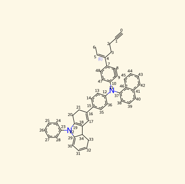 C#CCC/C(=C\C)c1c#cc(N(c2ccc(C3=CC4=C(CC3)N(c3ccccc3)C3=CC=CCC34)cc2)c2cccc3ccccc23)cc1